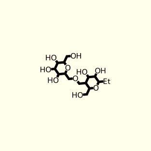 CCC1OC(CO)C(COCC2OC(CO)C(O)C(O)C2O)C(O)C1O